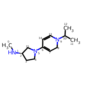 CN[C@@H]1CCN(C2=CCN(C(C)C)C=C2)C1